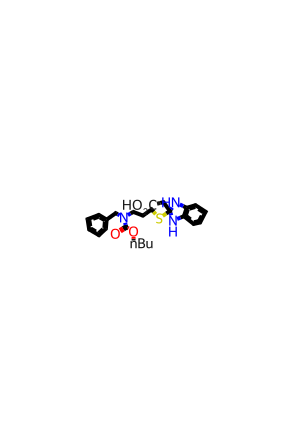 CCCCOC(=O)N(CCCSC1(CC(=O)O)Nc2ccccc2N1)Cc1ccccc1